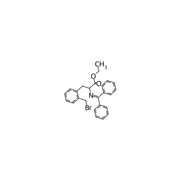 CCOC(=O)C(Cc1ccccc1CBr)N=C(c1ccccc1)c1ccccc1